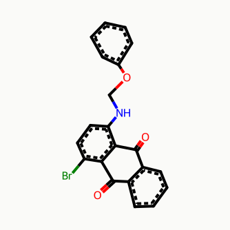 O=C1c2ccccc2C(=O)c2c(NCOc3ccccc3)ccc(Br)c21